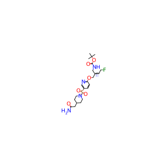 CC(C)(C)OC(=O)NC/C(=C\CF)COc1ccc(S(=O)(=O)N2CCC(CC(N)=O)CC2)cn1